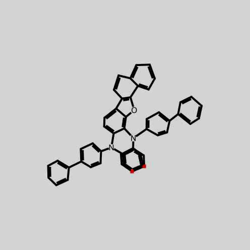 c1ccc(-c2ccc(N(c3ccccc3)c3ccc4c(oc5c6ccccc6ccc45)c3N(c3ccccc3)c3ccc(-c4ccccc4)cc3)cc2)cc1